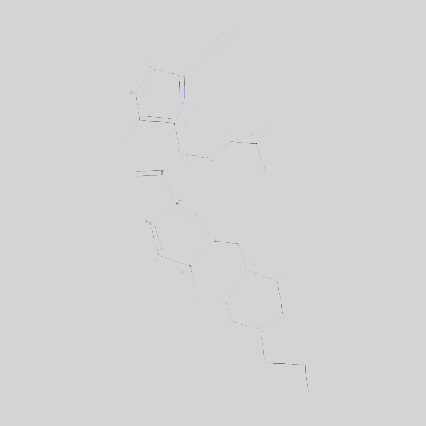 CCCN1CCN(Cc2cc(C(=O)N(NCC(C)C)c3nc(C#N)ncc3Br)ccc2F)CC1